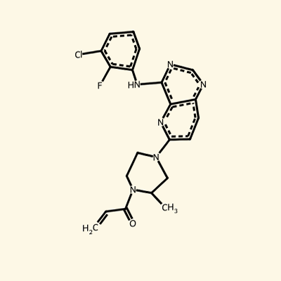 C=CC(=O)N1CCN(c2ccc3ncnc(Nc4cccc(Cl)c4F)c3n2)CC1C